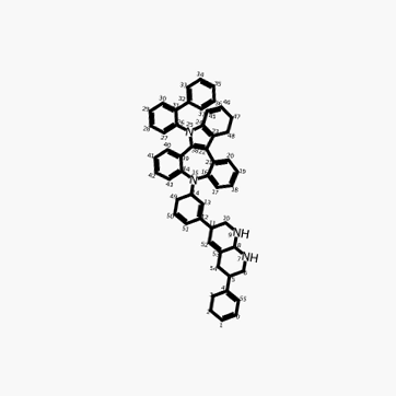 C1=CCCC(C2CNC3NCC(C4=CC(N5c6ccccc6-c6c7c(n(-c8ccccc8-c8ccccc8)c6-c6ccccc65)C=CCC7)CC=C4)C=C3C2)=C1